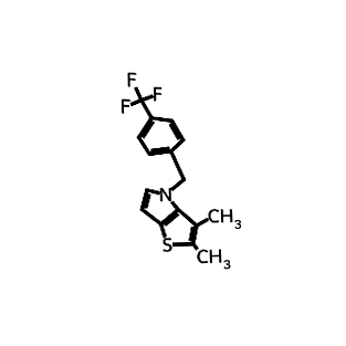 Cc1sc2ccn(Cc3ccc(C(F)(F)F)cc3)c2c1C